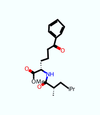 COC(=O)[C@H](CCCC(=O)c1ccccc1)NC(=O)[C@@H](C)CC(C)C